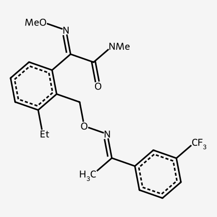 CCc1cccc(/C(=N\OC)C(=O)NC)c1CO/N=C(\C)c1cccc(C(F)(F)F)c1